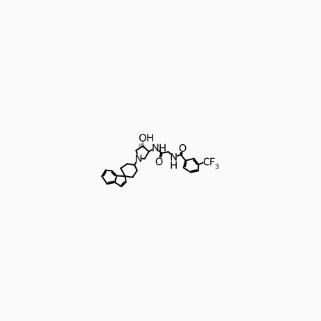 O=C(CNC(=O)c1cccc(C(F)(F)F)c1)NC1CN(C2CCC3(C=Cc4ccccc43)CC2)C[C@@H]1O